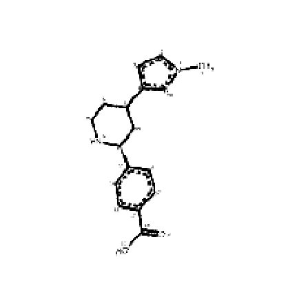 Cn1ccc(C2CCN[C@H](c3ccc(C(=O)O)cc3)C2)n1